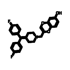 Oc1ccc2c(c1)OC=C(CN1CCC(=C(c3ccc(F)cc3)c3ccc(F)cc3)CC1)O2